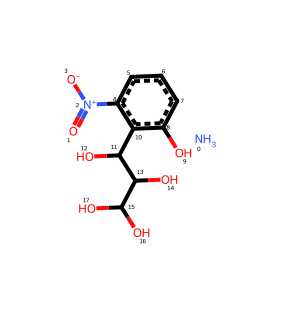 N.O=[N+]([O-])c1cccc(O)c1C(O)C(O)C(O)O